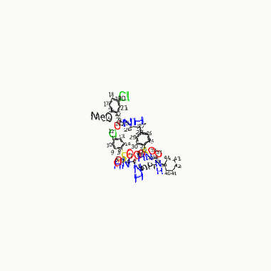 CCCNC(=O)NS(=O)(=O)c1ccc(Cl)cc1.COc1ccc(Cl)cc1C(=O)NCCc1ccc(S(=O)(=O)NC(=O)NC2CCCCC2)cc1